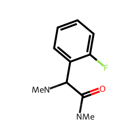 CNC(=O)C(NC)c1ccccc1F